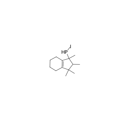 CC1C(C)(C)C2=C(CCCC2)C1(C)PI